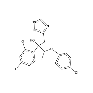 CC(Oc1ccc(Cl)cc1)C(O)(Cc1nc[nH]n1)c1ccc(F)cc1Cl